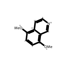 COc1ccc(OC)c2cnccc12